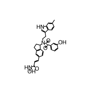 Cc1ccc2c(CCN(C3CCc4cc(C=CC(=O)NO)ccc43)S(=O)(=O)c3cccc(O)c3)c[nH]c2c1